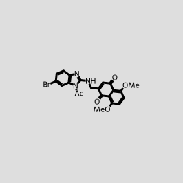 COc1ccc(OC)c2c1C(=O)C=C(CNc1nc3ccc(Br)cc3n1C(C)=O)C2=O